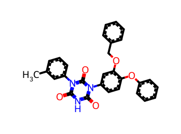 Cc1cccc(-n2c(=O)[nH]c(=O)n(-c3ccc(Oc4ccccc4)c(OCc4ccccc4)c3)c2=O)c1